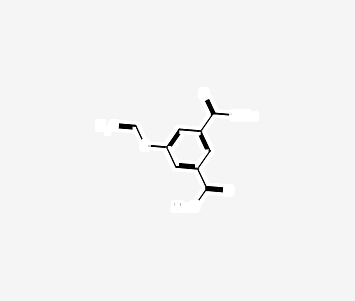 C=COc1cc(C(=O)OC)cc(C(=O)OC)c1